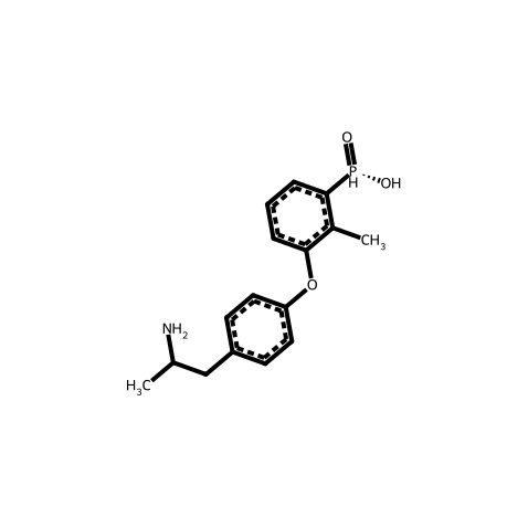 Cc1c(Oc2ccc(CC(C)N)cc2)cccc1[P@H](=O)O